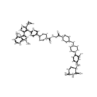 CC(C)(C)n1nc(-c2noc(C3CC3)c2-c2ncc(C3CCN(C(=O)OCC(=O)N4CCC(CN5CCN(c6ccc(NC7CCC(=O)NC7=O)cc6F)CC5)CC4)CC3)cn2)c2c(N)ncnc21